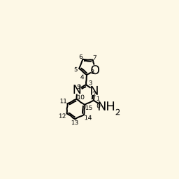 Nc1nc(-c2ccco2)nc2ccccc12